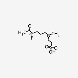 CC(=O)[C@@H](F)CCCN(C)CCS(=O)(=O)O